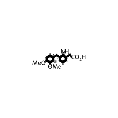 COc1ccc(Cc2cccc(CC(=O)O)c2N)cc1OC